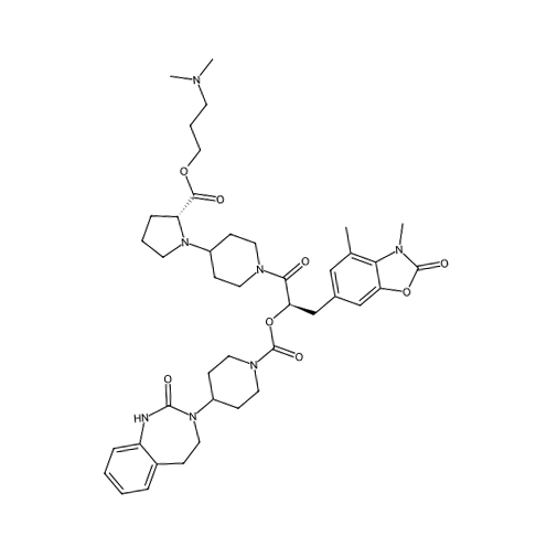 Cc1cc(C[C@@H](OC(=O)N2CCC(N3CCc4ccccc4NC3=O)CC2)C(=O)N2CCC(N3CCC[C@@H]3C(=O)OCCCN(C)C)CC2)cc2oc(=O)n(C)c12